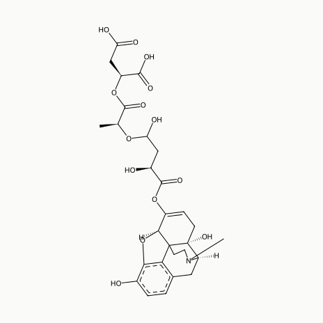 C[C@H](OC(O)C[C@H](O)C(=O)OC1=CC[C@@]2(O)[C@H]3Cc4ccc(O)c5c4C2(CCN3C)[C@H]1O5)C(=O)O[C@@H](CC(=O)O)C(=O)O